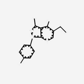 CCc1cnc2c(c(C)nn2-c2ccc(Br)cc2)c1Cl